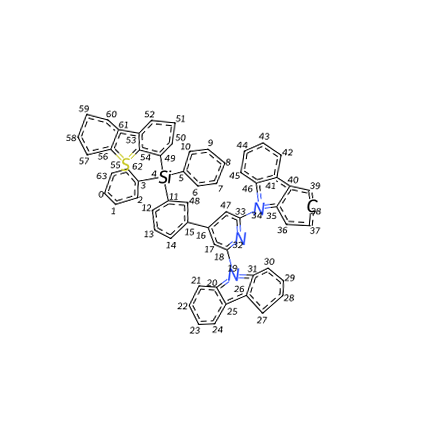 c1ccc([Si](c2ccccc2)(c2cccc(-c3cc(-n4c5ccccc5c5ccccc54)nc(-n4c5ccccc5c5ccccc54)c3)c2)c2cccc3c2sc2ccccc23)cc1